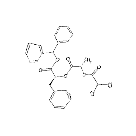 C[C@H](OC(=O)C(Cl)Cl)C(=O)O[C@@H](Cc1ccccc1)C(=O)OC(c1ccccc1)c1ccccc1